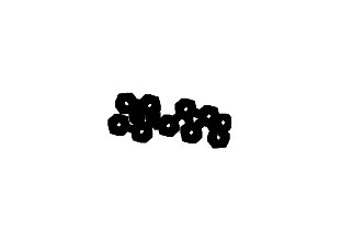 c1ccc(-c2cccc(N(c3cccc(-c4cccc5c6ccc7oc8ccccc8c7c6c6ccccc6c45)c3)c3cccc4c3oc3ccccc34)c2)cc1